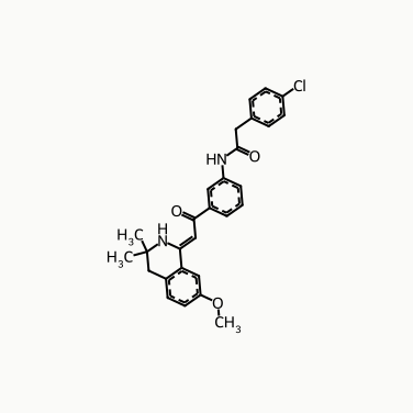 COc1ccc2c(c1)C(=CC(=O)c1cccc(NC(=O)Cc3ccc(Cl)cc3)c1)NC(C)(C)C2